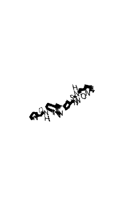 Cn1ccc(CC(=O)Nc2nnc(C3CC[C@H](Cc4ccc(NC(=O)Cc5ccccn5)nn4)C3)s2)n1